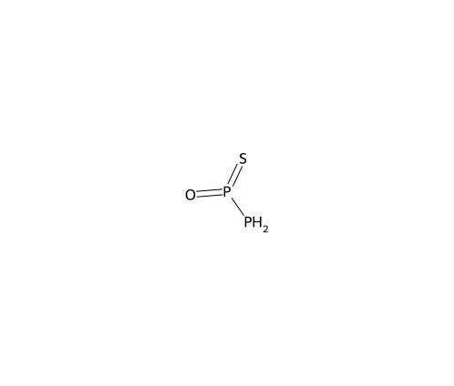 O=P(P)=S